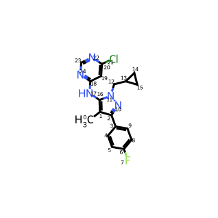 Cc1c(-c2ccc(F)cc2)nn(CC2CC2)c1Nc1cc(Cl)ncn1